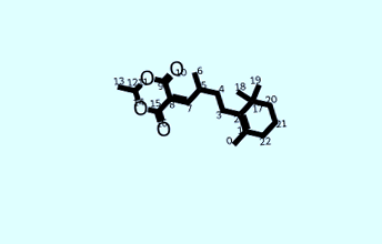 CC1=C(CCC(C)C=C2C(=O)OC(C)OC2=O)C(C)(C)CCC1